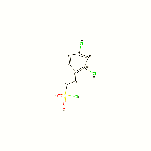 O=S(=O)(Cl)CCc1ccc(Cl)cc1Cl